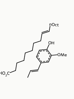 CC=Cc1ccc(O)c(OC)c1.CCCCCCCCC=CCCCCCCCC(=O)O